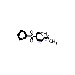 C=CC(/C=C\C=C/C)S(=O)(=O)c1ccccc1